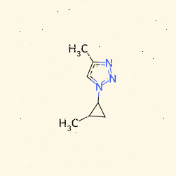 Cc1cn(C2CC2C)nn1